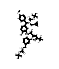 COc1ccc(C(c2ccc(F)c(NC(=O)c3cc(C(F)(F)F)nn3-c3cccc(CNC(=O)OC(C)(C)C)c3)c2)N(CC2CC2)C(=O)OC(C)(C)C)cc1